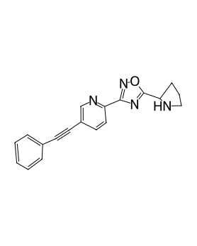 C(#Cc1ccc(-c2noc(C3CCCN3)n2)nc1)c1ccccc1